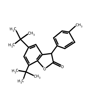 Cc1ccc(C2C(=O)Oc3c2cc(C(C)(C)C)cc3C(C)(C)C)cc1